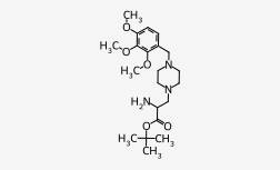 COc1ccc(CN2CCN(CC(N)C(=O)OC(C)(C)C)CC2)c(OC)c1OC